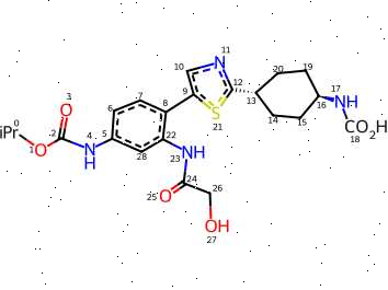 CC(C)OC(=O)Nc1ccc(-c2cnc([C@H]3CC[C@H](NC(=O)O)CC3)s2)c(NC(=O)CO)c1